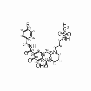 CS(=O)(=O)NCCCN1CCCN2C(=O)c3c(O)c(=O)c(C(=O)NCc4ccc(F)cc4)cn3CC12